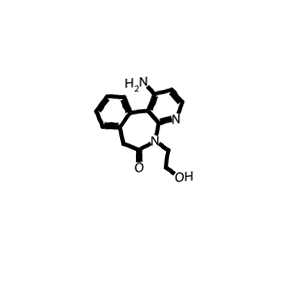 Nc1ccnc2c1-c1ccccc1CC(=O)N2CCO